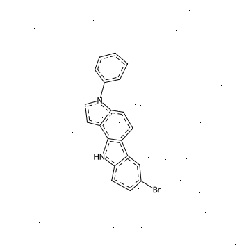 Brc1ccc2[nH]c3c(ccc4c3ccn4-c3ccccc3)c2c1